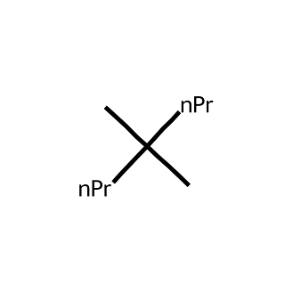 CCCC(C)(C)CCC